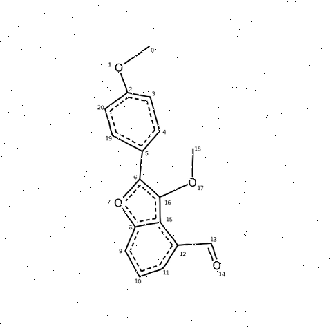 COc1ccc(-c2oc3cccc(C=O)c3c2OC)cc1